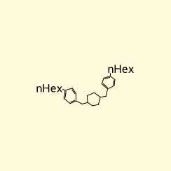 CCCCCCc1ccc(CC2CCC(Cc3ccc(CCCCCC)cc3)CC2)cc1